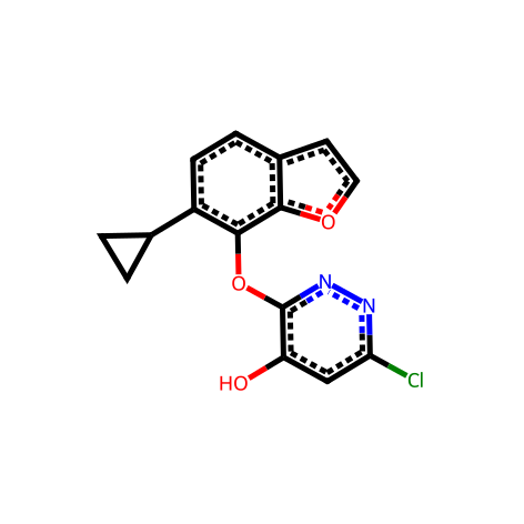 Oc1cc(Cl)nnc1Oc1c(C2CC2)ccc2ccoc12